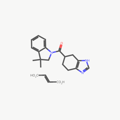 CC1(C)CN(C(=O)C2CCc3nc[nH]c3C2)c2ccccc21.O=C(O)C=CC(=O)O